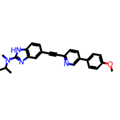 COc1ccc(-c2ccc(C#Cc3ccc4[nH]c(N(C)C(C)C)nc4c3)nc2)cc1